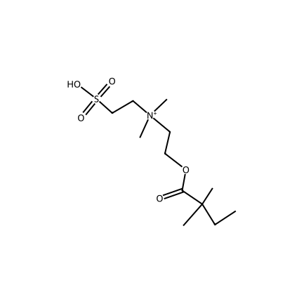 CCC(C)(C)C(=O)OCC[N+](C)(C)CCS(=O)(=O)O